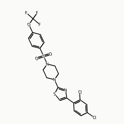 O=S(=O)(c1ccc(OC(F)(F)F)cc1)N1CCN(c2nc(-c3ccc(Cl)cc3Cl)cs2)CC1